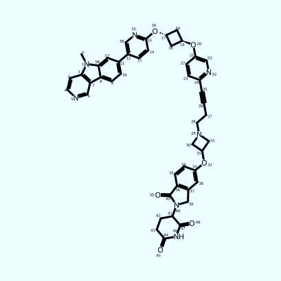 Cn1c2ccncc2c2ccc(-c3ccc(O[C@H]4C[C@H](Oc5ccc(C#CCCN6CC(Oc7ccc8c(c7)CN(C7CCC(=O)NC7=O)C8=O)C6)nc5)C4)nc3)cc21